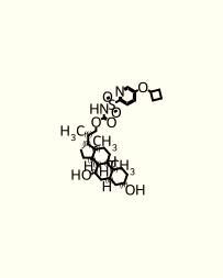 C[C@H](COC(=O)NS(=O)(=O)c1ccc(OC2CCC2)cn1)[C@H]1CC[C@H]2[C@@H]3[C@H](O)C[C@@H]4C[C@H](O)CC[C@]4(C)[C@H]3CC[C@]12C